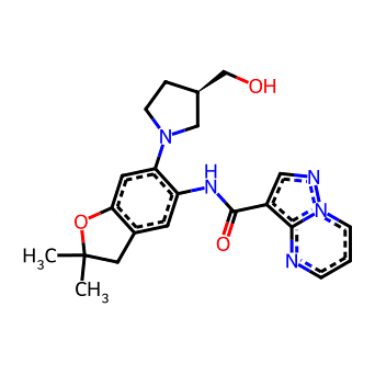 CC1(C)Cc2cc(NC(=O)c3cnn4cccnc34)c(N3CC[C@@H](CO)C3)cc2O1